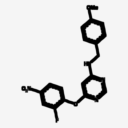 COc1ccc(CNc2cc(Oc3ccc([N+](=O)[O-])cc3F)ncn2)cc1